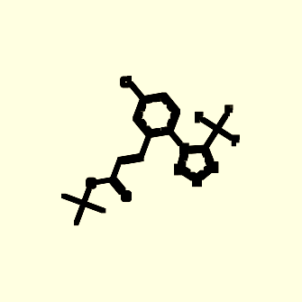 CC(C)(C)OC(=O)/C=C/c1cc(Cl)ccc1-n1nnnc1C(F)(F)F